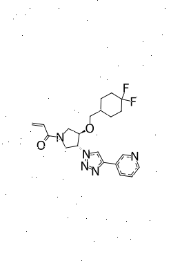 C=CC(=O)N1C[C@@H](n2cc(-c3cccnc3)nn2)[C@H](OCC2CCC(F)(F)CC2)C1